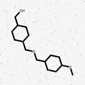 COC1CCC(COCC2CCC(CO)CC2)CC1